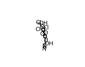 O=S(=O)(c1ccc(OCC(O)Cn2ccnc2)cc1)c1cc(Cl)c(OCC(O)CCl)c(Cl)c1